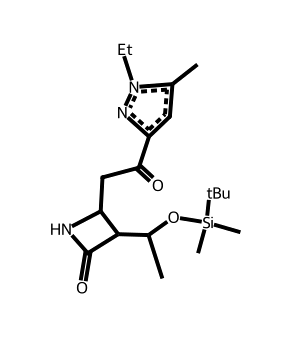 CCn1nc(C(=O)CC2NC(=O)C2C(C)O[Si](C)(C)C(C)(C)C)cc1C